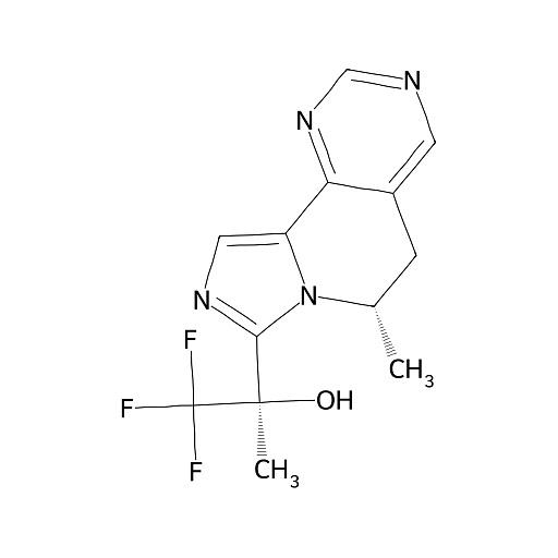 C[C@H]1Cc2cncnc2-c2cnc([C@@](C)(O)C(F)(F)F)n21